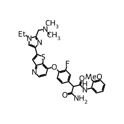 CCn1cc(-c2cc3nccc(Oc4ccc(C(C(N)=O)C(=O)Nc5ccccc5OC)cc4F)c3s2)nc1CN(C)C